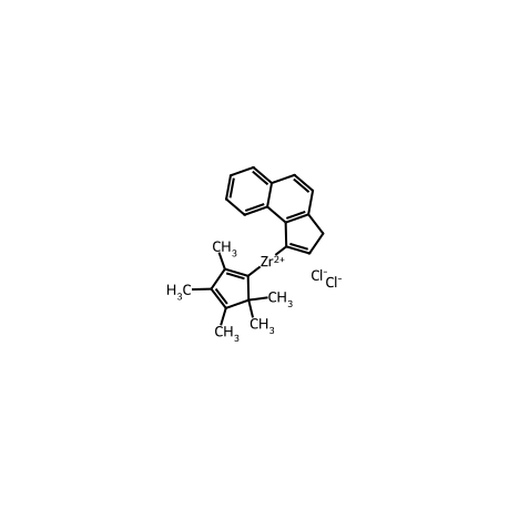 CC1=C(C)C(C)(C)[C]([Zr+2][C]2=CCc3ccc4ccccc4c32)=C1C.[Cl-].[Cl-]